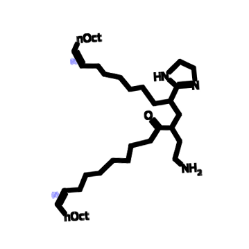 CCCCCCCC/C=C\CCCCCCCC(=O)C(CCN)CC(CCCCCC/C=C\CCCCCCCC)C1=NCCN1